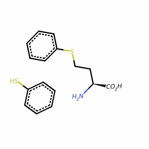 N[C@@H](CCSc1ccccc1)C(=O)O.Sc1ccccc1